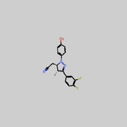 C[C@H]1C(c2ccc(F)c(F)c2)=NN(c2ccc(O)cc2)[C@@H]1CC#N